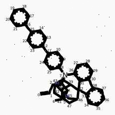 C=C/C=C(\C=C/C)N(c1ccc(-c2ccc(-c3ccccc3)cc2)cc1)c1cccc2c1C1(c3ccccc3-2)C2CC3CC(C2)CC1C3